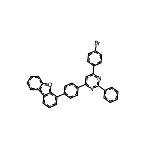 Brc1ccc(-c2cc(-c3ccc(-c4cccc5c4oc4ccccc45)cc3)nc(-c3ccccc3)n2)cc1